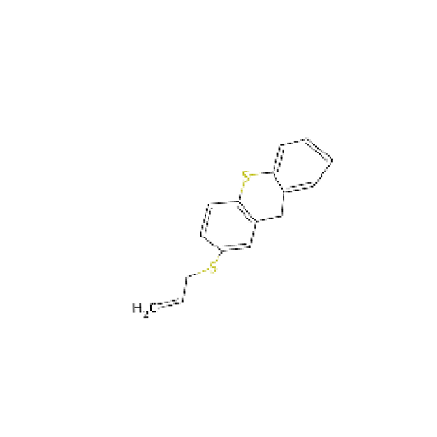 C=CCSc1ccc2c(c1)Cc1ccccc1S2